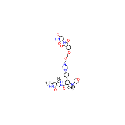 CCN(c1cc(-c2ccc(N3CCN(CCOCCOc4ccc5c(c4)C(=O)N(C4CCC(=O)NC4=O)C5=O)CC3)cc2)cc(C(=O)NCc2c(C)cc(C)[nH]c2=O)c1C)C1CCOCC1